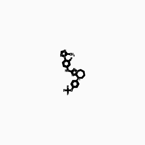 Cc1ncnn1-c1ccc(Nc2nc3n(n2)CCCC[C@H]3c2ccc(OC(F)(F)F)cc2)cc1F